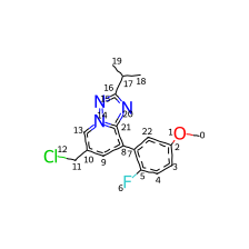 COc1ccc(F)c(-c2cc(CCl)cn3nc(C(C)C)nc23)c1